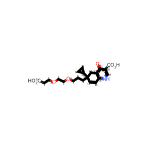 O=C(O)CCOCCOCCCC1(C2CC2)C=Cc2[nH]cc(C(=O)O)c(=O)c2C1